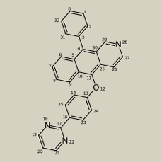 c1ccc(-c2c3ccccc3c(Oc3ccc(-c4ncccn4)cc3)c3ccncc23)cc1